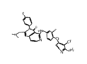 CN(C)Cc1cc2ccnc(Nc3ccc(Oc4ccnc(N)c4Cl)c(F)c3)c2c(=O)n1-c1ccc(F)cc1